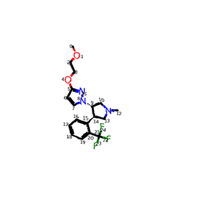 COCCOc1ccn([C@@H]2CN(C)C[C@H]2c2ccccc2C(F)(F)F)n1